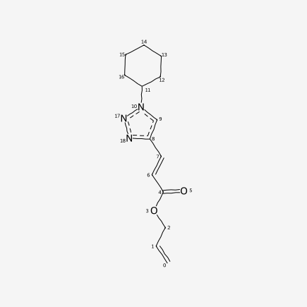 C=CCOC(=O)C=Cc1cn(C2CCCCC2)nn1